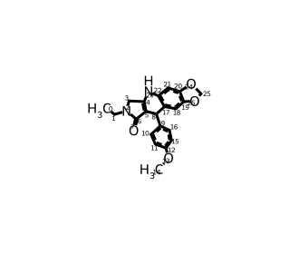 CCN1CC2=C(C1=O)C(c1ccc(OC)cc1)c1cc3c(cc1N2)OCO3